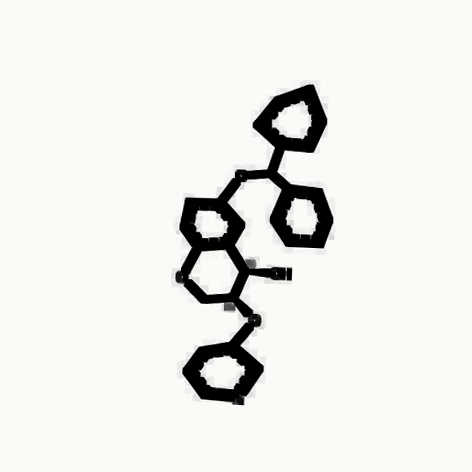 O[C@@H]1c2cc(OC(c3ccccc3)c3ccccc3)ccc2OC[C@@H]1Oc1cccnc1